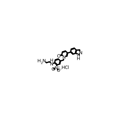 Cl.NCCNc1ccc(Cn2cc(-c3ccc4cn[nH]c4c3)ccc2=O)cc1[N+](=O)[O-]